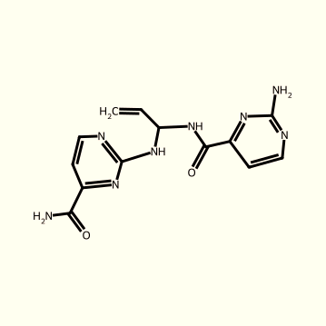 C=CC(NC(=O)c1ccnc(N)n1)Nc1nccc(C(N)=O)n1